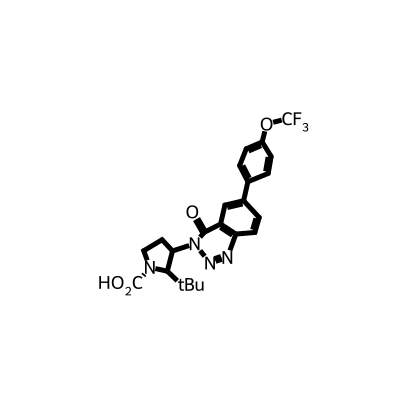 CC(C)(C)C1C(n2nnc3ccc(-c4ccc(OC(F)(F)F)cc4)cc3c2=O)CCN1C(=O)O